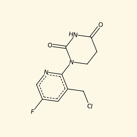 O=C1CCN(c2ncc(F)cc2CCl)C(=O)N1